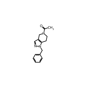 CC(=O)N1CCc2c(cnn2Cc2ccccc2)C1